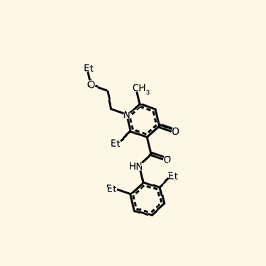 CCOCCn1c(C)cc(=O)c(C(=O)Nc2c(CC)cccc2CC)c1CC